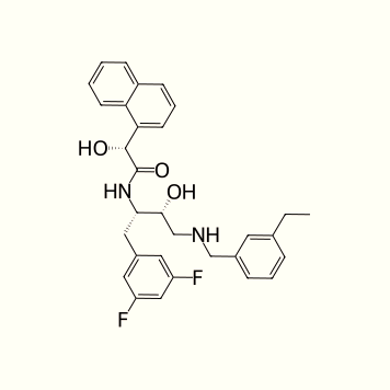 CCc1cccc(CNC[C@@H](O)[C@H](Cc2cc(F)cc(F)c2)NC(=O)[C@H](O)c2cccc3ccccc23)c1